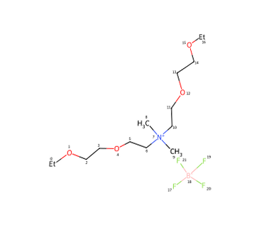 CCOCCOCC[N+](C)(C)CCOCCOCC.F[B-](F)(F)F